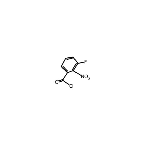 O=C(Cl)c1cccc(F)c1[N+](=O)[O-]